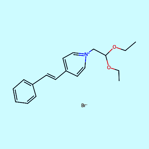 CCOC(C[n+]1ccc(C=Cc2ccccc2)cc1)OCC.[Br-]